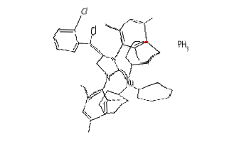 Cc1cc(C)c(N2CC(=C(Cl)c3ccccc3Cl)N(c3c(C)cc(C)cc3C)[C]2=[Ru]([CH]2CCCCC2)([CH]2CCCCC2)[CH]2CCCCC2)c(C)c1.P